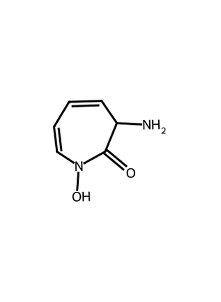 NC1C=CC=CN(O)C1=O